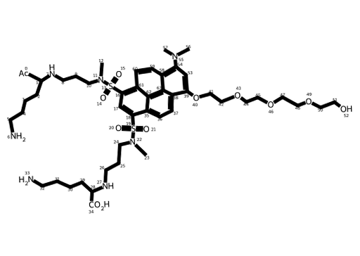 CC(=O)C(CCCCN)NCCCN(C)S(=O)(=O)c1cc(S(=O)(=O)N(C)CCCNC(CCCCN)C(=O)O)c2ccc3c(OCCOCCOCCOCCO)cc(N(C)C)c4ccc1c2c34